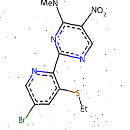 CCSc1cc(Br)cnc1-c1ncc([N+](=O)[O-])c(NC)n1